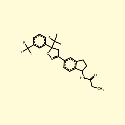 CCC(=O)NC1CCc2cc(C3=NOC(c4cccc(C(F)(F)F)c4)(C(F)(F)F)C3)ccc21